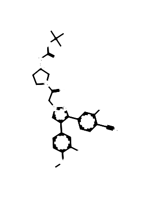 COc1ccc(-c2cn(CC(=O)N3CC[C@H](NC(=O)OC(C)(C)C)C3)nc2-c2ccc(C#N)c(F)c2)cc1F